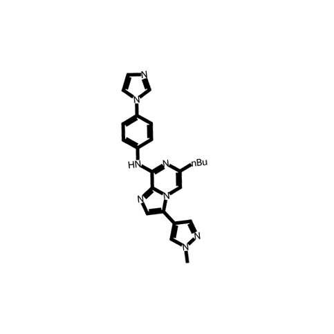 CCCCc1cn2c(-c3cnn(C)c3)cnc2c(Nc2ccc(-n3ccnc3)cc2)n1